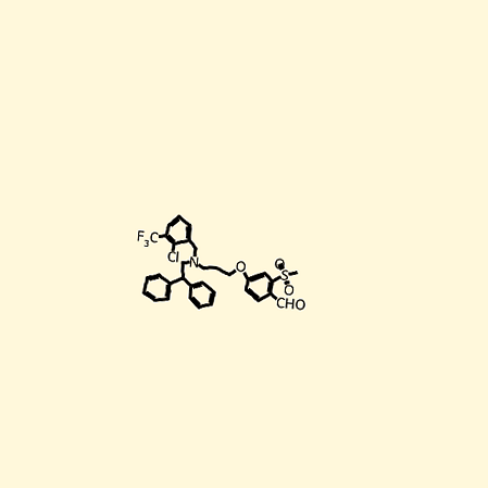 CS(=O)(=O)c1cc(OCCCN(Cc2cccc(C(F)(F)F)c2Cl)CC(c2ccccc2)c2ccccc2)ccc1C=O